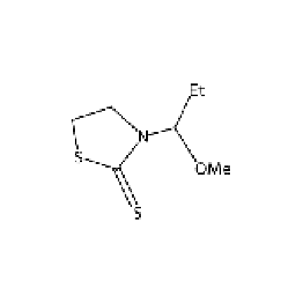 CCC(OC)N1CCSC1=S